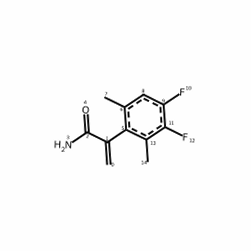 C=C(C(N)=O)c1c(C)cc(F)c(F)c1C